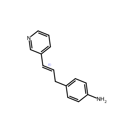 Nc1ccc(C/C=C/c2cccnc2)cc1